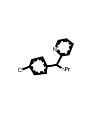 CCCC(c1ccc(Cl)cc1)c1ccccn1